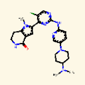 CN(C)C1CCN(c2ccc(Nc3ncc(F)c(-c4cc5c(n4C)CCNC5=O)n3)nc2)CC1